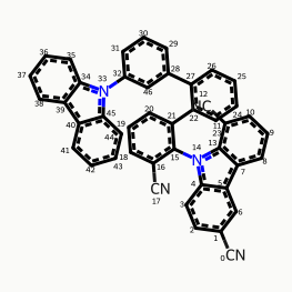 N#Cc1ccc2c(c1)c1cccc(C#N)c1n2-c1c(C#N)cccc1-c1ccccc1-c1cccc(-n2c3ccccc3c3ccccc32)c1